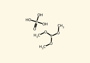 COP(OC)OC.O=P(O)(O)O